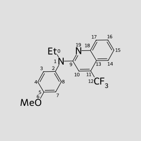 CCN(c1ccc(OC)cc1)c1cc(C(F)(F)F)c2ccccc2n1